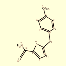 COc1ccc(Cc2ncc(C(N)=O)s2)cc1